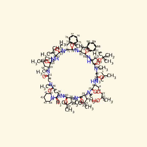 CC(C)C[C@@H]1C(=O)N[C@@H](COC[C@@H](C)O)C(=O)N(C)[C@@H](CC(C)C)C(=O)N(C)[C@@H](CC(C)C)C(=O)N[C@@H](C(=O)N2CCCCC2)CC(=O)N(C)CC(=O)N(C)[C@@H](CC(C)C)C(=O)N[C@@H](C(C)C)C(=O)N(C)[C@H](Cc2ccccc2)C(=O)N(C)[C@@H](Cc2ccccc2)C(=O)N[C@@H](COC(C)(C)C)C(=O)N1C